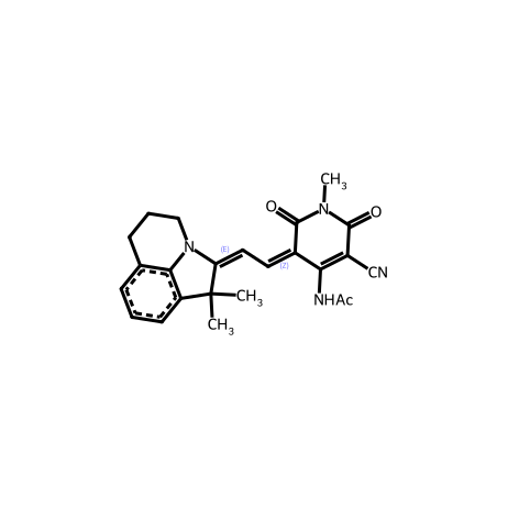 CC(=O)NC1=C(C#N)C(=O)N(C)C(=O)/C1=C\C=C1\N2CCCc3cccc(c32)C1(C)C